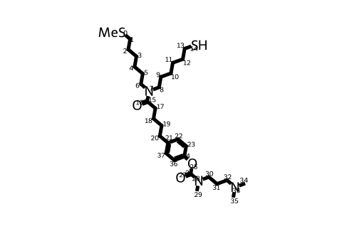 CSCCCCCCN(CCCCCCS)C(=O)CCCCc1ccc(OC(=O)N(C)CCCN(C)C)cc1